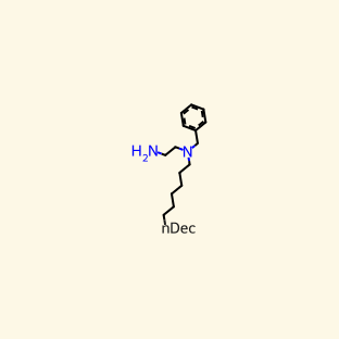 CCCCCCCCCCCCCCCCN(CCN)Cc1ccccc1